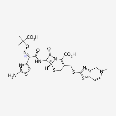 CN1C=Cc2sc(SCC3=C(C(=O)O)N4C(=O)C(NC(=O)/C(=N\OC(C)(C)C(=O)O)c5csc(N)n5)[C@H]4SC3)nc2C1